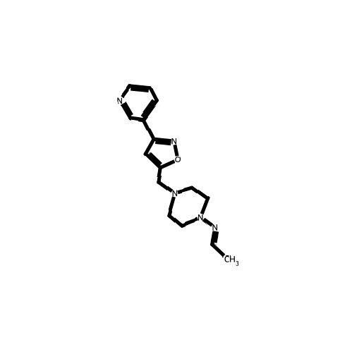 C/C=N/N1CCN(Cc2cc(-c3cccnc3)no2)CC1